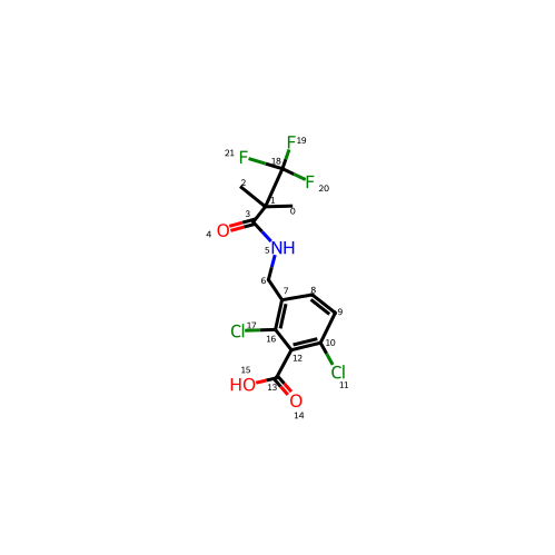 CC(C)(C(=O)NCc1ccc(Cl)c(C(=O)O)c1Cl)C(F)(F)F